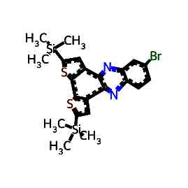 C[Si](C)(C)c1cc2c3nc4ccc(Br)cc4nc3c3cc([Si](C)(C)C)sc3c2s1